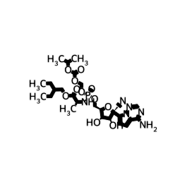 CCC(CC)COC(=O)[C@H](C)N[P@@](=O)(OCOC(=O)OC(C)C)OC[C@H]1O[C@@](C#N)(c2ccc3c(N)ncnn23)[C@H](O)[C@@H]1O